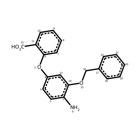 Nc1ccc(Oc2ccccc2C(=O)O)cc1OCc1ccccc1